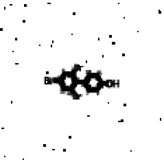 Oc1ccc(-c2c(Br)cc(Br)cc2Br)cc1